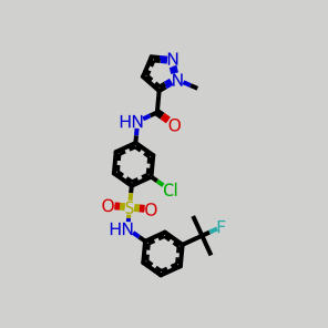 Cn1nccc1C(=O)Nc1ccc(S(=O)(=O)Nc2cccc(C(C)(C)F)c2)c(Cl)c1